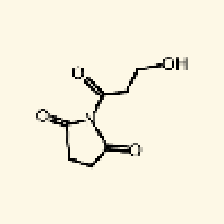 O=C(CCO)N1C(=O)CCC1=O